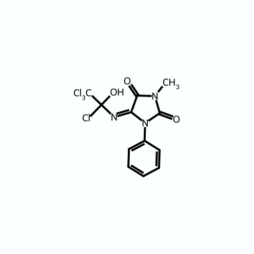 CN1C(=O)/C(=N\C(O)(Cl)C(Cl)(Cl)Cl)N(c2ccccc2)C1=O